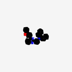 c1cc(-c2nc(-c3ccc4c(c3)oc3ccccc34)c3ccccc3n2)cc(-n2c3ccc4ccccc4c3c3c4ccccc4ccc32)c1